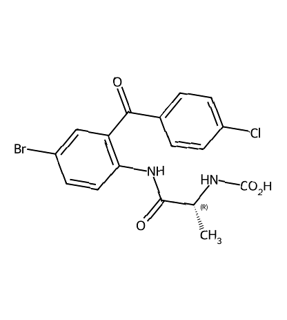 C[C@@H](NC(=O)O)C(=O)Nc1ccc(Br)cc1C(=O)c1ccc(Cl)cc1